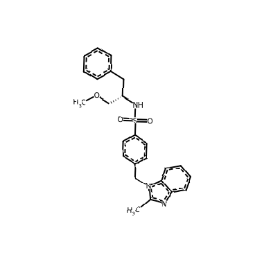 COC[C@H](Cc1ccccc1)NS(=O)(=O)c1ccc(Cn2c(C)nc3ccccc32)cc1